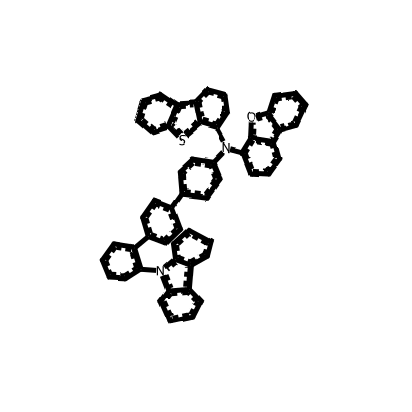 c1ccc(-n2c3ccccc3c3ccccc32)c(-c2ccc(-c3ccc(N(c4cccc5c4oc4ccccc45)c4cccc5c4sc4ccccc45)cc3)cc2)c1